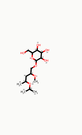 COC(COC1OC(CO)C(O)C(O)C1O)CC(C)OC(C)C